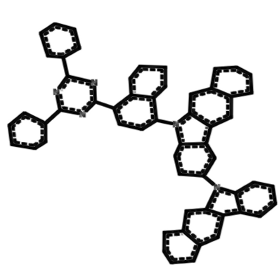 c1ccc(-c2nc(-c3ccccc3)nc(-c3ccc(-n4c5ccc(-n6c7ccccc7c7cc8ccccc8cc76)cc5c5cc6ccccc6cc54)c4ccccc34)n2)cc1